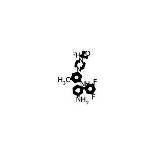 [2H]C1(N2CCN(c3cc(C)cc(NC4(c5cc(F)cc(F)c5)C=CC=C(N)C4)c3)CC2)COC1